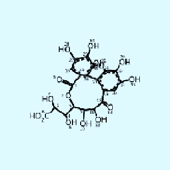 O=C1OC(C(O)C(O)C(=O)O)C(O)C(O)C(=O)c2cc(O)c(O)c(O)c2-c2c1cc(O)c(O)c2O